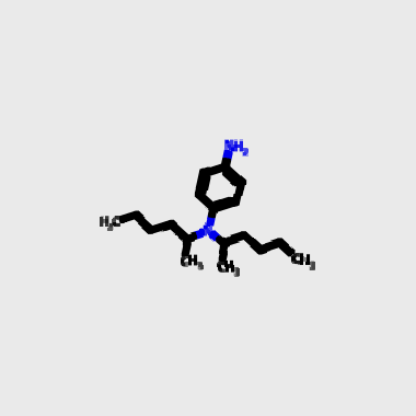 CCCCC(C)N(c1ccc(N)cc1)C(C)CCCC